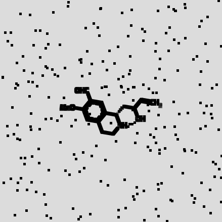 C=CC(O)C[C@@H]1NCCc2cc(OC)c(C=O)cc21